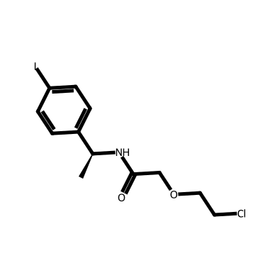 C[C@H](NC(=O)COCCCl)c1ccc(I)cc1